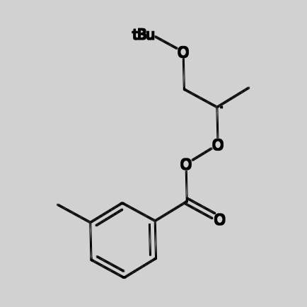 C[C](COC(C)(C)C)OOC(=O)c1cccc(C)c1